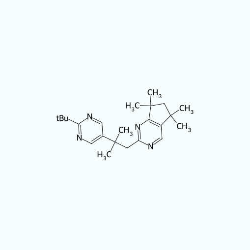 CC(C)(C)c1ncc(C(C)(C)Cc2ncc3c(n2)C(C)(C)CC3(C)C)cn1